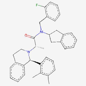 Cc1cccc([C@H]2c3ccccc3CCN2[C@@H](C)C(=O)N(Cc2ccccc2F)C2Cc3ccccc3C2)c1C